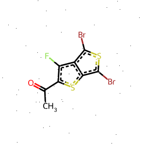 CC(=O)c1sc2c(Br)sc(Br)c2c1F